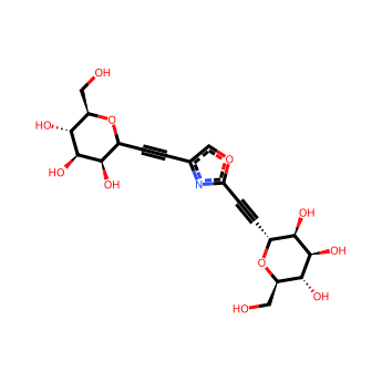 OC[C@H]1O[C@H](C#Cc2nc(C#CC3O[C@H](CO)[C@@H](O)[C@H](O)[C@@H]3O)co2)[C@@H](O)[C@@H](O)[C@@H]1O